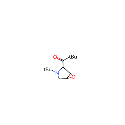 CC(C)(C)C(=O)C1C2OC2CN1C(C)(C)C